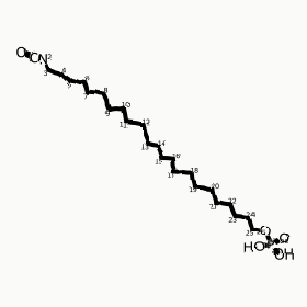 O=C=NCCCCCCCCCCCCCCCCCCCCCCCOP(=O)(O)O